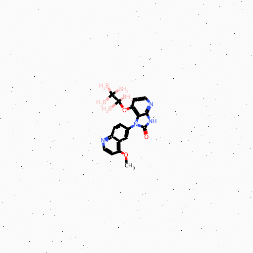 BC(B)(B)C(B)(B)Oc1ccnc2[nH]c(=O)n(-c3ccc4nccc(OC)c4c3)c12